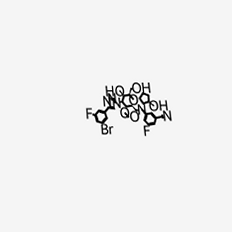 CO[C@@H]1[C@@H](n2cc(-c3cc(F)cc(Br)c3)nn2)[C@@H](O)[C@@H](CO)O[C@H]1C(=O)N(c1cc(F)cc(C#N)c1)[C@@H]1CCC[C@H]1O